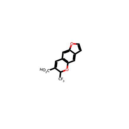 O=C(O)C1=Cc2cc3occc3cc2OC1C(F)(F)F